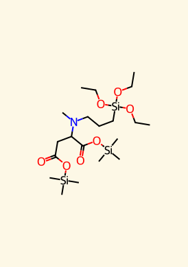 CCO[Si](CCCN(C)C(CC(=O)O[Si](C)(C)C)C(=O)O[Si](C)(C)C)(OCC)OCC